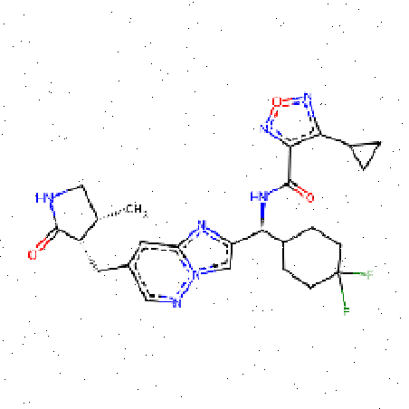 C[C@H]1CNC(=O)[C@H]1Cc1cnn2cc([C@@H](NC(=O)c3nonc3C3CC3)C3CCC(F)(F)CC3)nc2c1